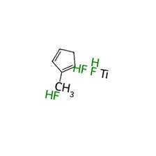 CC1=CCC=C1.F.F.F.[Ti]